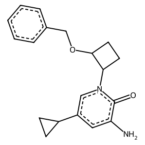 Nc1cc(C2CC2)cn(C2CCC2OCc2ccccc2)c1=O